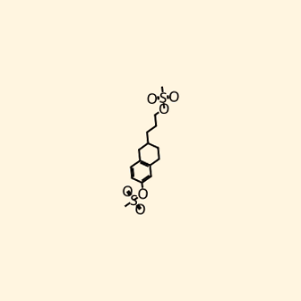 CS(=O)(=O)OCCCC1CCc2cc(OS(C)(=O)=O)ccc2C1